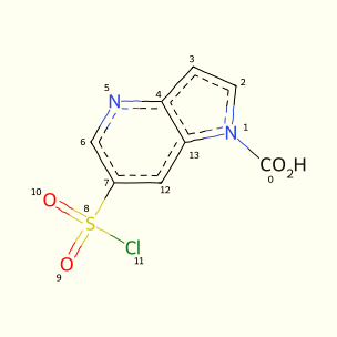 O=C(O)n1ccc2ncc(S(=O)(=O)Cl)cc21